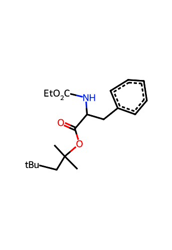 CCOC(=O)NC(Cc1ccccc1)C(=O)OC(C)(C)CC(C)(C)C